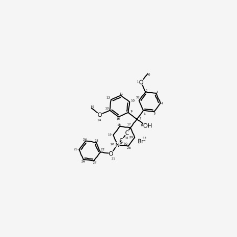 COc1cccc(C(O)(c2cccc(OC)c2)C23CC[N+](Oc4ccccc4)(CC2)CC3)c1.[Br-]